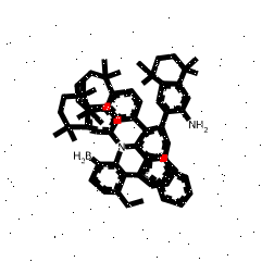 Bc1ccc(CC)c(C2=CCCC=C2)c1N(c1cc2c(cc1C)C(C)(C)CCC2(C)C)c1c(-c2ccc3c(c2)C(C)(C)CCCC3(C)C)c(-c2cc3c(cc2N)C(C)(C)CCC3(C)C)cc2c1sc1ccccc12